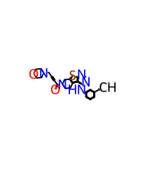 C#Cc1cccc(Nc2ncnc3sc4c(c23)CCN(C(=O)C#CCN2CCOCC2)C4)c1